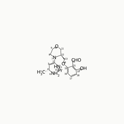 CC(C)N/C(=C\[C@@H](C)N)N1CCOC[C@H]1COc1cccc(O)c1C=O